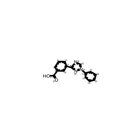 O=C(O)c1cccc(-c2ncn(-c3ccccc3)n2)c1